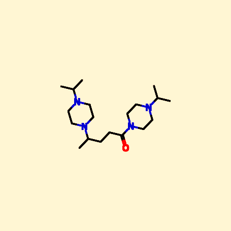 CC(C)N1CCN(C(=O)CCC(C)N2CCN(C(C)C)CC2)CC1